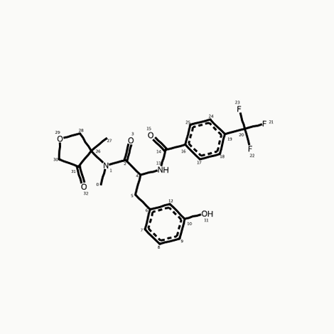 CN(C(=O)C(Cc1cccc(O)c1)NC(=O)c1ccc(C(F)(F)F)cc1)C1(C)COCC1=O